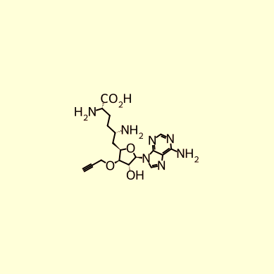 C#CCO[C@@H]1[C@@H](O)[C@H](n2cnc3c(N)ncnc32)O[C@@H]1C[C@@H](N)CC[C@H](N)C(=O)O